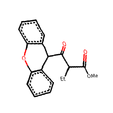 CCC(C(=O)OC)C(=O)C1c2ccccc2Oc2ccccc21